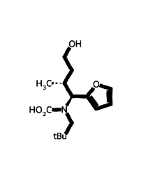 C[C@H](CCO)[C@@H](c1ccco1)N(CC(C)(C)C)C(=O)O